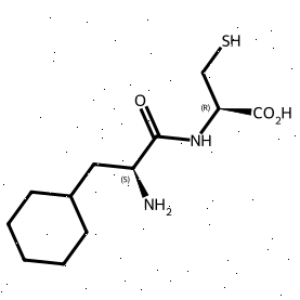 N[C@@H](CC1CCCCC1)C(=O)N[C@@H](CS)C(=O)O